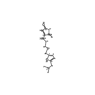 CN(C)Cc1ccc(CSCCNC2=NC(=O)CN2C)o1